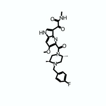 CNC(=O)C(=O)c1c[nH]c2cc(OC)c(C(=O)N3C[C@H](C)N(Cc4ccc(F)cc4)C[C@H]3C)nc12